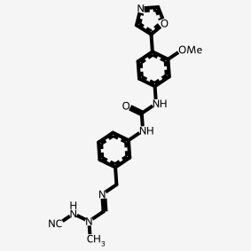 COc1cc(NC(=O)Nc2cccc(CN=CN(C)NC#N)c2)ccc1-c1cnco1